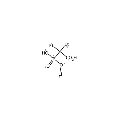 CCOC(=O)C(CC)(CC)P(=O)(O)OCl